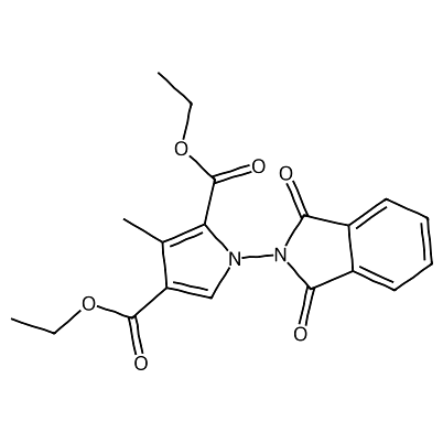 CCOC(=O)c1cn(N2C(=O)c3ccccc3C2=O)c(C(=O)OCC)c1C